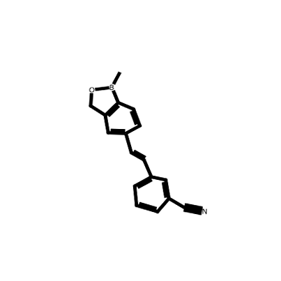 CB1OCc2cc(/C=C/c3cccc(C#N)c3)ccc21